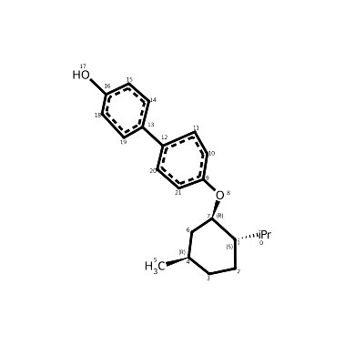 CC(C)[C@@H]1CC[C@@H](C)C[C@H]1Oc1ccc(-c2ccc(O)cc2)cc1